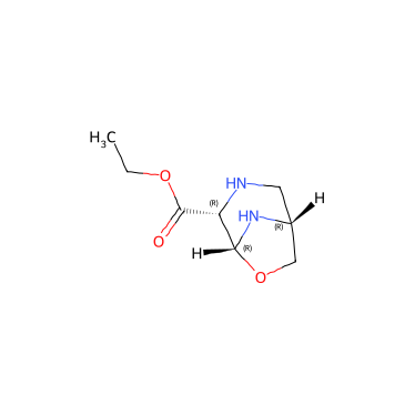 CCOC(=O)[C@@H]1NC[C@@H]2CO[C@H]1N2